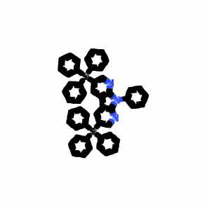 c1ccc(-n2c3ncc([Si](c4ccccc4)(c4ccccc4)c4ccccc4)cc3c3cc([Si](c4ccccc4)(c4ccccc4)c4ccccc4)cnc32)cc1